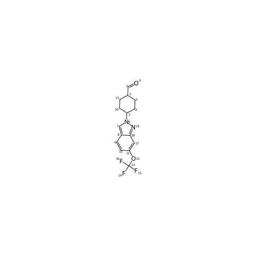 O=CC1CCC(n2cc3ccc(OC(F)(F)F)cc3n2)CC1